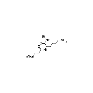 CCCCCCCCCCCC(=O)NC(CCCCN)C(=O)NCC